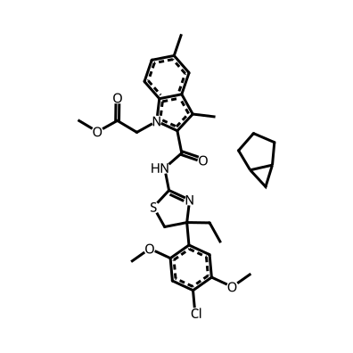 C1CC2CC2C1.CCC1(c2cc(OC)c(Cl)cc2OC)CSC(NC(=O)c2c(C)c3cc(C)ccc3n2CC(=O)OC)=N1